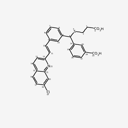 O=C(O)CCSC(c1cccc(/C=C/c2ccc3ccc(Cl)cc3n2)c1)c1cccc(C(=O)O)c1